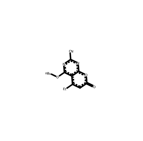 CCCCOc1nc(C#N)nc2oc(=O)cc(CC)c12